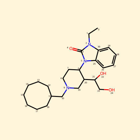 CCn1c(=O)n(C2CCN(CC3CCCCCCC3)CC2C(O)CO)c2ccccc21